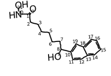 O=C(CCCCCCC(O)c1ccc2ccccc2c1)NO